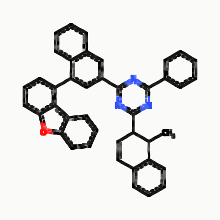 CC1c2ccccc2C=CC1c1nc(-c2ccccc2)nc(-c2cc(-c3cccc4oc5ccccc5c34)c3ccccc3c2)n1